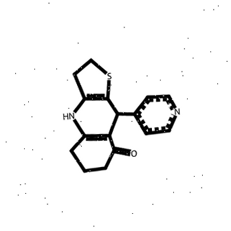 O=C1CCCC2=C1C(c1ccncc1)C1=C(CCS1)N2